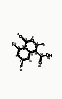 Cc1oc(=O)c2c(F)cc(F)cc2c1C(=O)O